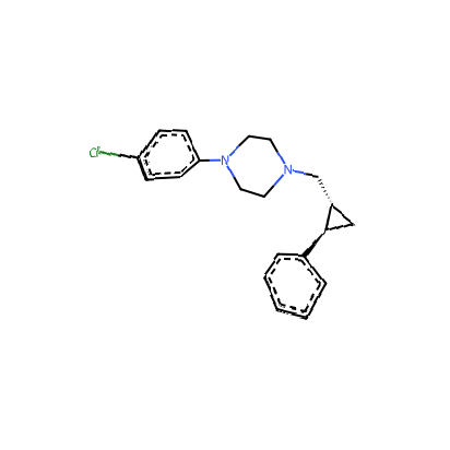 Clc1ccc(N2CCN(C[C@@H]3C[C@H]3c3ccccc3)CC2)cc1